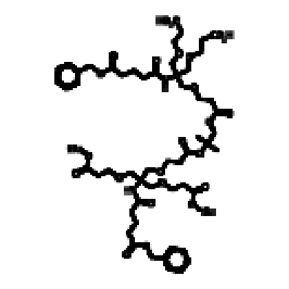 CC(C)(C)OC(=O)CCOCC(COCCC(=O)OC(C)(C)C)(COCCC(=O)OC(C)(C)COC(=O)CCOCC(COCCC(=O)O)(COCCC(=O)O)NC(=O)CCCC(=O)OCc1ccccc1)NC(=O)CCCC(=O)OCc1ccccc1